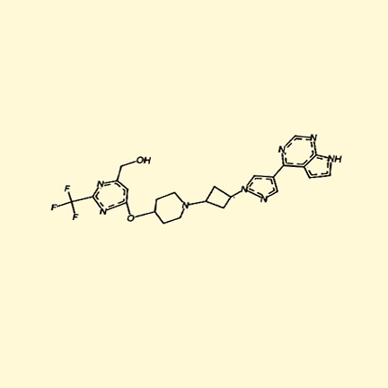 OCc1cc(OC2CCN(C3C[C](n4cc(-c5ncnc6[nH]ccc56)cn4)C3)CC2)nc(C(F)(F)F)n1